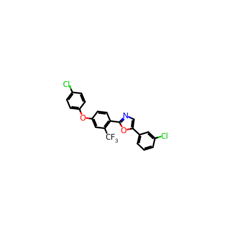 FC(F)(F)c1cc(Oc2ccc(Cl)cc2)ccc1-c1ncc(-c2cccc(Cl)c2)o1